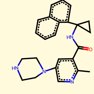 Cc1ncc(N2CCNCC2)cc1C(=O)NC1(c2cccc3ccccc23)CC1